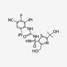 CC(C)c1cc(C#N)c(F)c(C(C)C)c1NC(=O)NS(=N)(=O)c1sc(C(C)(C)O)nc1CO